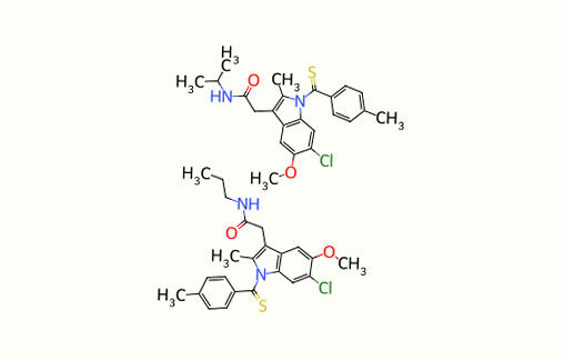 CCCNC(=O)Cc1c(C)n(C(=S)c2ccc(C)cc2)c2cc(Cl)c(OC)cc12.COc1cc2c(CC(=O)NC(C)C)c(C)n(C(=S)c3ccc(C)cc3)c2cc1Cl